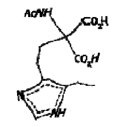 CC(=O)NC(Cc1nc[nH]c1C)(C(=O)O)C(=O)O